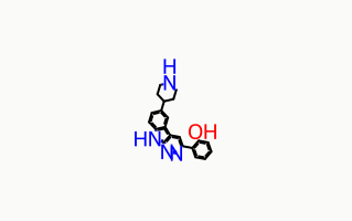 Oc1ccccc1-c1cc2c(nn1)[nH]c1ccc(C3CCNCC3)cc12